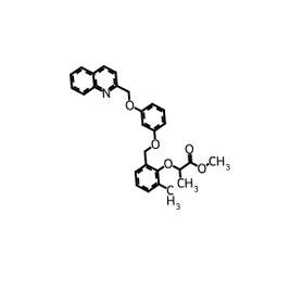 COC(=O)C(C)Oc1c(C)cccc1COc1cccc(OCc2ccc3ccccc3n2)c1